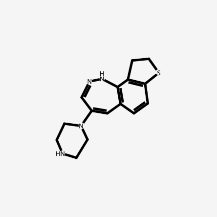 C1=NNc2c(ccc3c2CCS3)C=C1N1CCNCC1